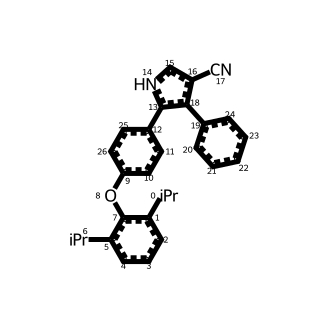 CC(C)c1cccc(C(C)C)c1Oc1ccc(-c2[nH]cc(C#N)c2-c2ccccc2)cc1